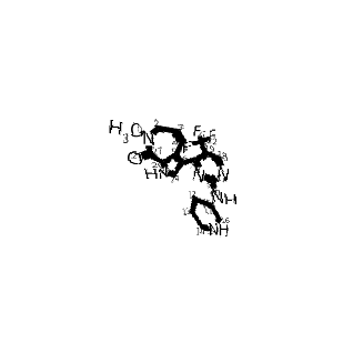 CN1CC=Cc2c(-c3nc(N[C@H]4CCCNC4)ncc3C(F)(F)F)c[nH]c2C1=O